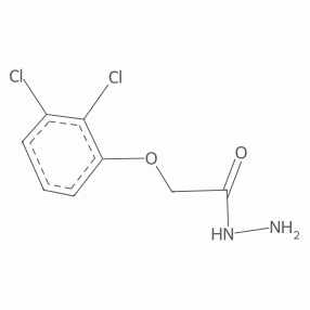 NNC(=O)COc1cccc(Cl)c1Cl